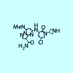 CNc1cc(Nc2cc(Cl)cn(C3CNC3)c2=O)nc2c(C(N)=O)cnn12